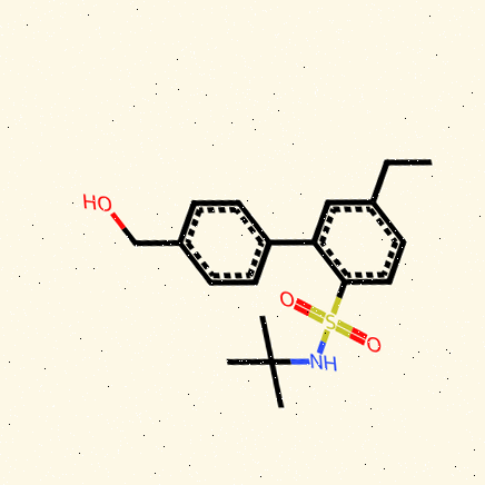 CCc1ccc(S(=O)(=O)NC(C)(C)C)c(-c2ccc(CO)cc2)c1